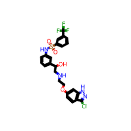 O=S(=O)(Nc1cccc(C(O)CNCCOc2ccc3c(Cl)n[nH]c3c2)c1)c1cccc(C(F)(F)F)c1